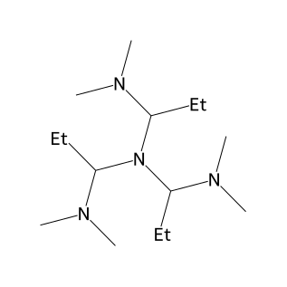 CCC(N(C)C)N(C(CC)N(C)C)C(CC)N(C)C